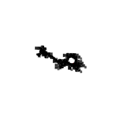 CC[C@H]1OC(=O)[C@H](C)[C@@H](OC2C[C@@](C)(OC)[C@@H](OC(=O)NCCCOCCNc3cc4c(=O)c(C(=O)O)cn(C5CC5)c4cc3Cl)[C@H](C)O2)[C@H](C)[C@@H](O[C@@H]2O[C@H](C)C[C@H](N(C)C)[C@H]2O)[C@](C)(O)C[C@@H](C)CN(C)[C@H](C)[C@@H](O)[C@]1(C)O